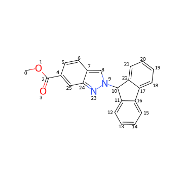 COC(=O)c1ccc2cn(C3c4ccccc4-c4ccccc43)nc2c1